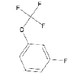 Fc1c[c]cc(OC(F)(F)F)c1